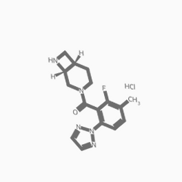 Cc1ccc(-n2nccn2)c(C(=O)N2CC[C@H]3CN[C@H]3C2)c1F.Cl